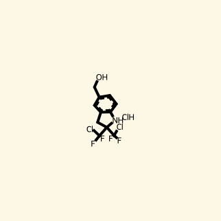 Cl.OCc1ccc2c(c1)CC(C(F)(F)Cl)(C(F)(F)Cl)N2